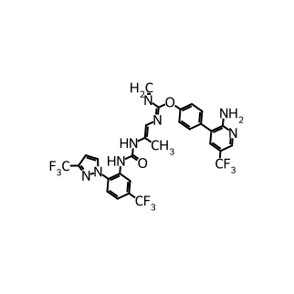 C=N/C(=N\C=C(/C)NC(=O)Nc1cc(C(F)(F)F)ccc1-n1ccc(C(F)(F)F)n1)Oc1ccc(-c2cc(C(F)(F)F)cnc2N)cc1